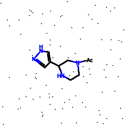 CC(=O)N1CCNC(c2cn[nH]c2)C1